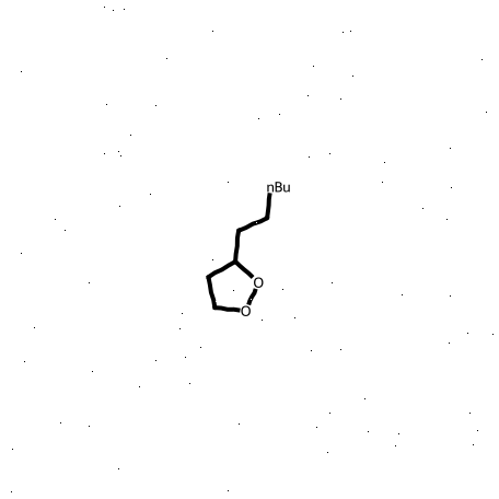 CCCCCCC1CCOO1